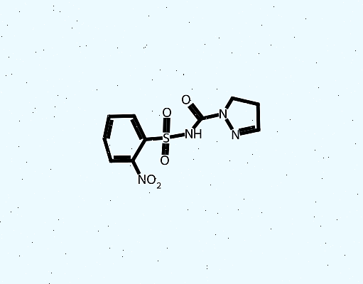 O=C(NS(=O)(=O)c1ccccc1[N+](=O)[O-])N1CCC=N1